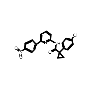 O=C(Nc1cccc(-c2ccc([SH](=O)=O)cc2)n1)C1(c2ccc(Cl)cc2)CC1